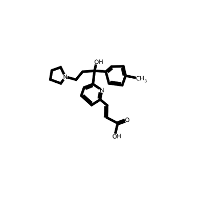 Cc1ccc(C(O)(CCN2CCCC2)c2cccc(/C=C/C(=O)O)n2)cc1